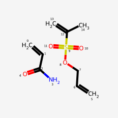 C=CC(N)=O.C=CCOS(=O)(=O)C(=C)C